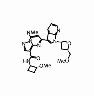 CNc1cc(-c2cn([C@H]3CO[C@@H](COC)C3)c3ncccc23)nc2c(C(=O)N[C@@H]3CC[C@H]3OC)cnn12